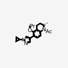 CC(=O)N1c2ccc(-c3cnn(C4CC4)c3)c(OC(C)C)c2CC[C@@H]1C